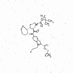 CCOC(=O)c1cc2cc(NC(=O)[C@H]3[C@H](C4CCCCC4)CCN3C(=O)OC(C)(C)C)ccc2n1CCF